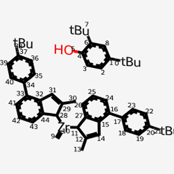 CC(C)(C)c1ccc(O)c(C(C)(C)C)c1.[CH2]=[Zr]([CH]1C(C)=Cc2c(-c3ccc(C(C)(C)C)cc3)cccc21)[CH]1C(C)=Cc2c(-c3ccc(C(C)(C)C)cc3)cccc21